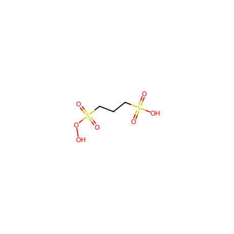 O=S(=O)(O)CCCS(=O)(=O)OO